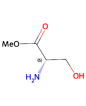 [CH2]OC(=O)[C@@H](N)CO